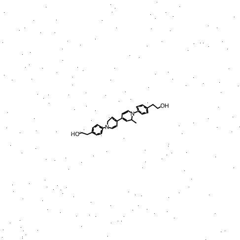 CC1C=C(C2=CCN(c3ccc(CCO)cc3)C=C2)C=CN1c1ccc(CCO)cc1